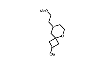 COCCN1CCOC2(C1)CN(C(C)(C)C)C2